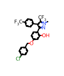 Cn1nc(-c2ccc(OCc3ccc(Cl)cc3)cc2O)c(-c2ccc(C(F)(F)F)cc2)c1C(F)(F)F